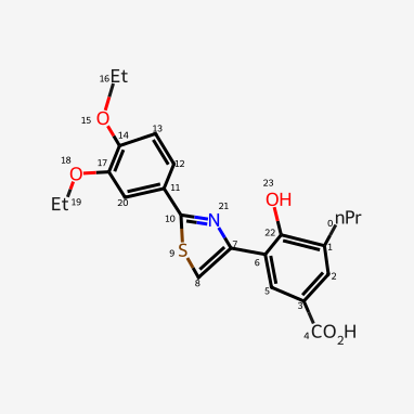 CCCc1cc(C(=O)O)cc(-c2csc(-c3ccc(OCC)c(OCC)c3)n2)c1O